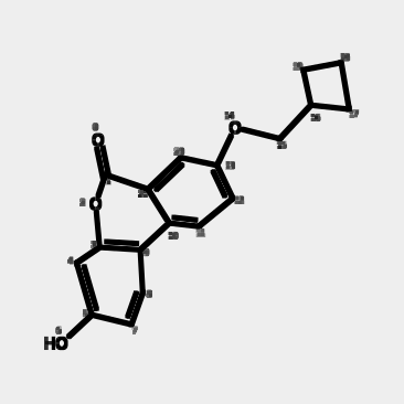 O=c1oc2cc(O)ccc2c2ccc(OCC3CCC3)cc12